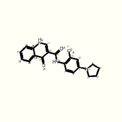 O=C(Nc1ccc(N2CCCC2)cc1C(F)(F)F)c1c[nH]c2ccccc2c1=O